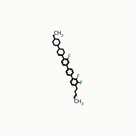 C=CC1CCC(C2CC=C(c3ccc(-c4ccc(-c5ccc(CC/C=C/C)c(F)c5F)cc4)cc3F)CC2)CC1